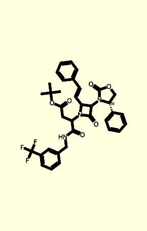 CC(C)(C)OC(=O)CC(C(=O)NCc1cccc(C(F)(F)F)c1)N1C(=O)C(N2C(=O)OC[C@@H]2c2ccccc2)C1C=Cc1ccccc1